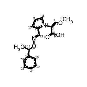 COC=C(C(=O)O)n1cccc1C=NOC(C)c1ccccc1